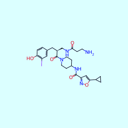 NCCC(=O)NC[C@H](Cc1ccc(O)c(I)c1)C(=O)N1CCC(NC(=O)c2cc(C3CC3)on2)CC1